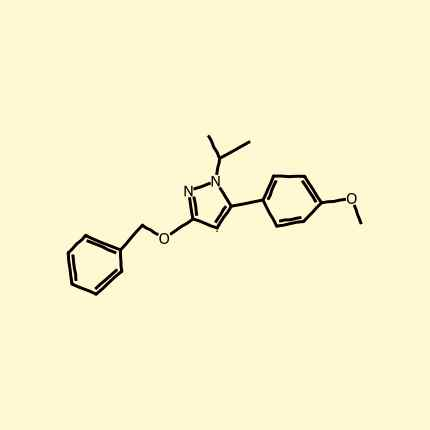 COc1ccc(-c2[c]c(OCc3ccccc3)nn2C(C)C)cc1